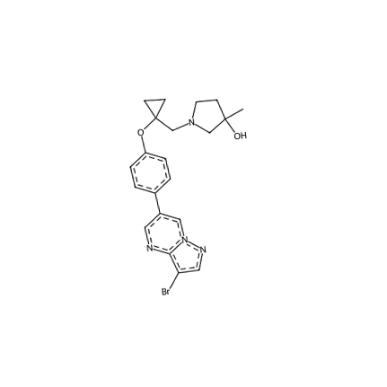 CC1(O)CCN(CC2(Oc3ccc(-c4cnc5c(Br)cnn5c4)cc3)CC2)C1